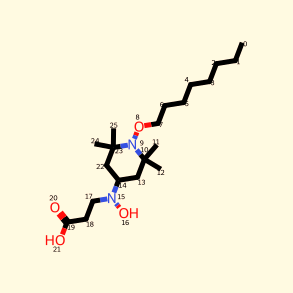 CCCCCCCCON1C(C)(C)CC(N(O)CCC(=O)O)CC1(C)C